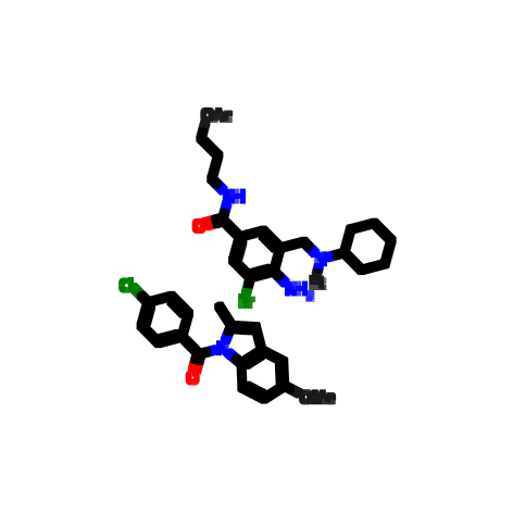 CCN(Cc1cc(C(=O)NCCCOC(C)=O)cc(Br)c1N)C1CCCCC1.COc1ccc2c(c1)cc(C)n2C(=O)c1ccc(Cl)cc1